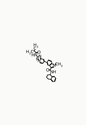 CC(C)C(=O)Nc1nc2cc(-c3ccc4c(c3)c(C(=O)NC3CCCc5ccccc53)cn4C)ccn2n1